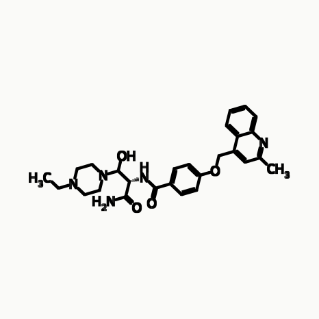 CCN1CCN(C(O)[C@H](NC(=O)c2ccc(OCc3cc(C)nc4ccccc34)cc2)C(N)=O)CC1